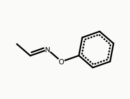 CC=NOc1ccccc1